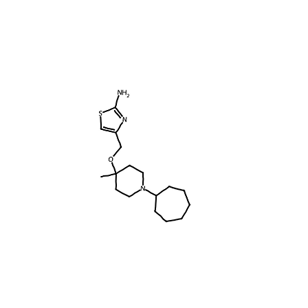 CC1(OCc2csc(N)n2)CCN(C2CCCCCC2)CC1